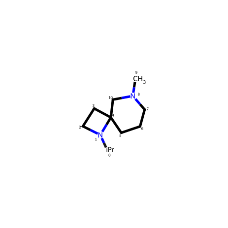 CC(C)N1CCC12CCCN(C)C2